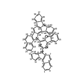 c1ccc2c(c1)ccc1c2c2ccccc2n1-c1nc(-n2c3c4ccccc4ccc3c3cc4c5ccccc5n5c6ccccc6c(c32)c45)c2oc3ccccc3c2n1